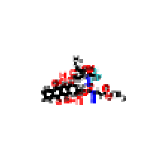 COC(=O)CCNC(=O)OC[C@]1(O)Cc2c(O)c3c(c(O)c2[C@@H](O[C@H]2C[C@H](NC(=O)C(F)(F)F)[C@H](O)[C@H](C)O2)C1)C(=O)c1ccccc1C3=O